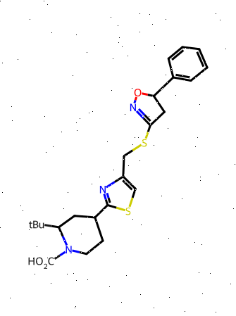 CC(C)(C)C1CC(c2nc(CSC3=NOC(c4ccccc4)C3)cs2)CCN1C(=O)O